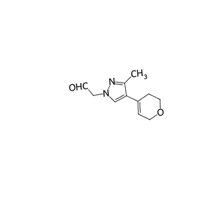 Cc1nn(CC=O)cc1C1=CCOCC1